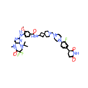 COc1cc(C(=O)NC2CC3(CCN(CN4CCN(c5ccc(C6CCC(=O)NC6=O)cc5F)CC4)CC3)C2)ccc1Nc1ncc2c(n1)N(C(C)C)CC(F)(F)C(=O)N2C